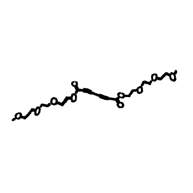 COCCOCCOCCOC(=O)C#CC#CC(=O)OCCOCCOCCOC